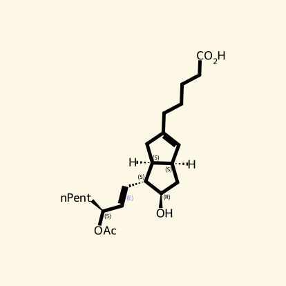 CCCCC[C@@H](/C=C/[C@@H]1[C@H]2CC(CCCCC(=O)O)=C[C@H]2C[C@H]1O)OC(C)=O